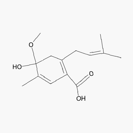 COC1(O)CC(CC=C(C)C)=C(C(=O)O)C=C1C